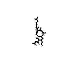 CCCC(CC1CC/C=C\C(C(C)(C)CCCCC(C)=O)=C(\C)CC(=O)C1)C(CC)C(=O)CC(C)=O